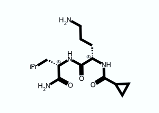 CC(C)C[C@H](NC(=O)[C@H](CCCN)NC(=O)C1CC1)C(N)=O